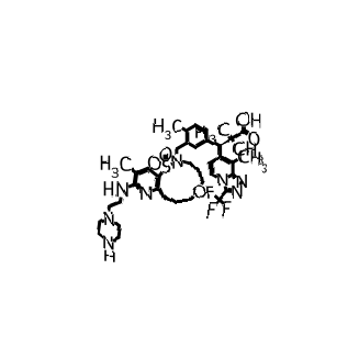 Cc1ccc([C@H](c2ccn3c(C(F)(F)F)nnc3c2C)C(C)(C)C(=O)O)cc1CN1CCCOCCCc2nc(NCCN3CCNCC3)c(C)cc2S1(=O)=O